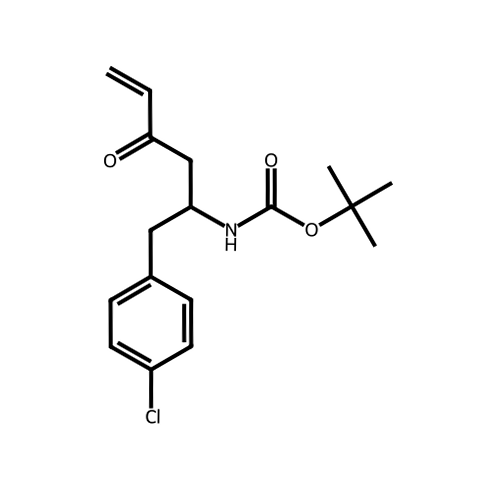 C=CC(=O)CC(Cc1ccc(Cl)cc1)NC(=O)OC(C)(C)C